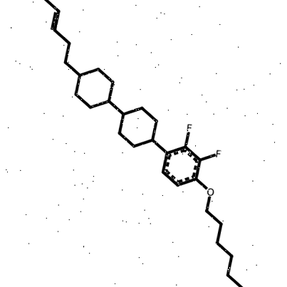 C/C=C/CCC1CCC(C2CCC(c3ccc(OCCCCCC)c(F)c3F)CC2)CC1